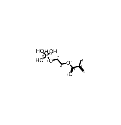 C=C(C)C(=O)OCCO[PH](O)(O)O